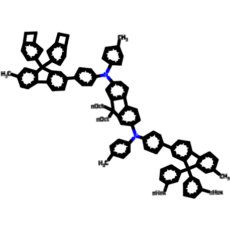 CCCCCCCCC1(CCCCCCCC)c2cc(N(c3ccc(C)cc3)c3ccc(-c4ccc5c(c4)C(c4cccc(CCCCCC)c4)(c4cccc(CCCCCC)c4)c4cc(C)ccc4-5)cc3)ccc2-c2ccc(N(c3ccc(C)cc3)c3ccc(-c4ccc5c(c4)C(c4ccc6c(c4)CC6)(c4ccc6c(c4)CC6)c4cc(C)ccc4-5)cc3)cc21